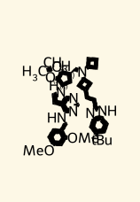 COc1ccc(CNc2ncnc3c2ccn3[C@@H]2C[C@H](CN(C3CCC3)C3CC(CCc4nc5cc(C(C)(C)C)ccc5[nH]4)C3)[C@H]3OC(C)(C)O[C@H]32)c(OC)c1